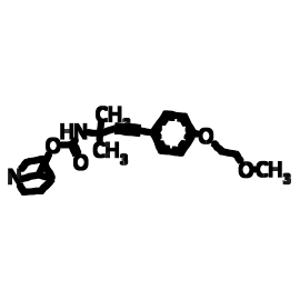 COCCOc1ccc(C#CC(C)(C)NC(=O)OC2CN3CCC2CC3)cc1